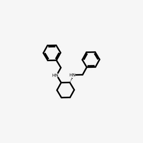 c1ccc(CNC2CCCC[C@H]2NCc2ccccc2)cc1